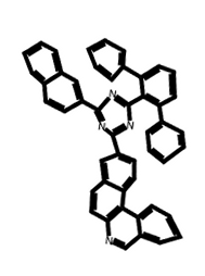 c1ccc(-c2cccc(-c3ccccc3)c2-c2nc(-c3ccc4ccccc4c3)nc(-c3ccc4c(ccc5ncc6ccccc6c54)c3)n2)cc1